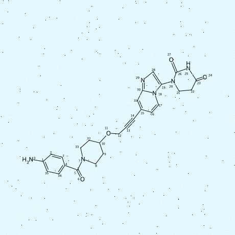 Nc1ccc(C(=O)N2CCC(OCC#Cc3ccn4c(N5CCC(=O)NC5=O)cnc4c3)CC2)cc1